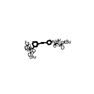 CCC(=O)ON(NC(=O)OC(C)(C)C)C(=O)c1cccc(C#Cc2ccc(NC(=O)CNC(=O)OC(C)(C)C)cc2)c1